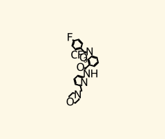 O=C(Nc1cccc(CN2CCOCC2)n1)c1cccc2nc(-c3ccc(F)cc3C(F)(F)F)oc12